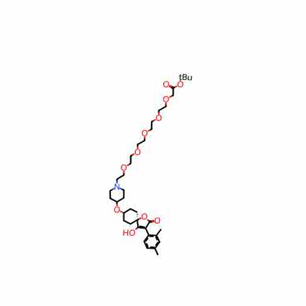 Cc1ccc(C2=C(O)[C@]3(CC[C@H](OC4CCN(CCOCCOCCOCCOCCOCC(=O)OC(C)(C)C)CC4)CC3)OC2=O)c(C)c1